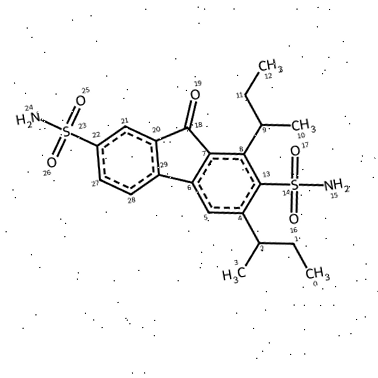 CCC(C)c1cc2c(c(C(C)CC)c1S(N)(=O)=O)C(=O)c1cc(S(N)(=O)=O)ccc1-2